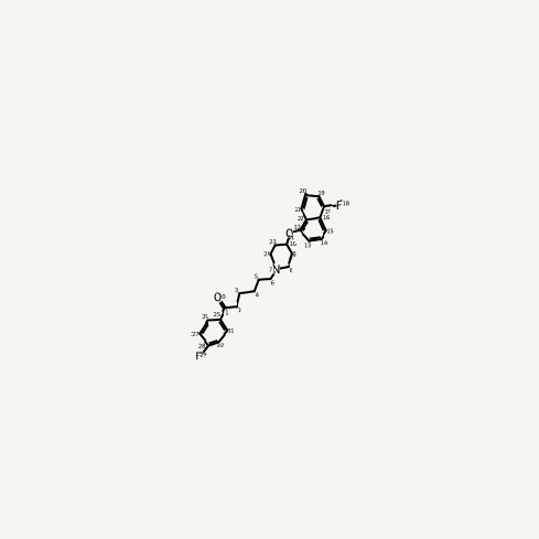 O=C(CCCCCN1CCC(Oc2cccc3c(F)cccc23)CC1)c1ccc(F)cc1